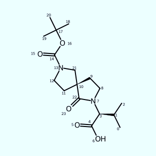 CC(C)[C@@H](C(=O)O)N1CC[C@]2(CCN(C(=O)OC(C)(C)C)C2)C1=O